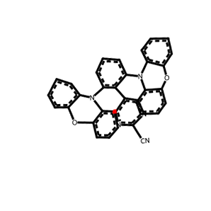 N#Cc1ncc(-c2c(N3c4ccccc4Oc4ccccc43)cccc2N2c3ccccc3Oc3ccccc32)cn1